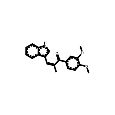 COc1ccc(C(=O)C(C)=Cc2c[nH]c3ccccc23)cc1OC